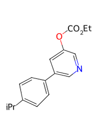 CCOC(=O)Oc1cncc(-c2ccc(C(C)C)cc2)c1